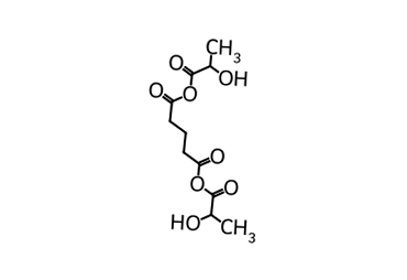 CC(O)C(=O)OC(=O)CCCC(=O)OC(=O)C(C)O